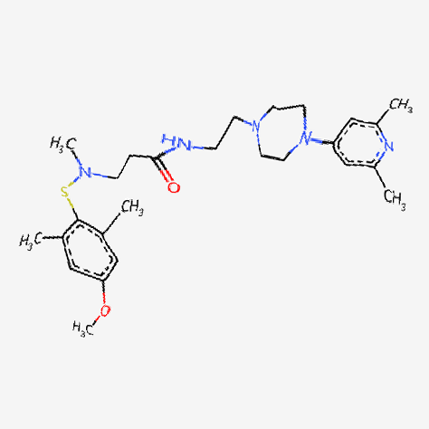 COc1cc(C)c(SN(C)CCC(=O)NCCN2CCN(c3cc(C)nc(C)c3)CC2)c(C)c1